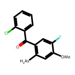 COc1cc([AsH2])c(C(=O)c2ccccc2Cl)cc1F